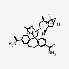 C=C(N)c1ccc2c(c1)CCc1cc(C(N)=O)ccc1C2(C[C@H](C)NCC(=C)N1C(C#N)C[C@@H]2C[C@@H]21)c1nnc(C)o1